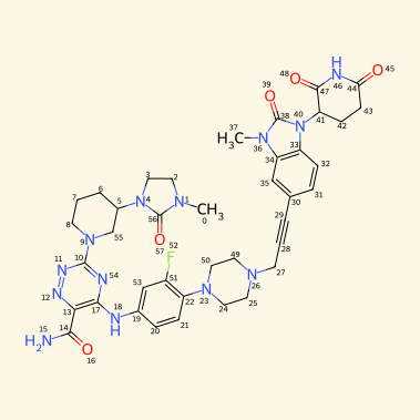 CN1CCN(C2CCCN(c3nnc(C(N)=O)c(Nc4ccc(N5CCN(CC#Cc6ccc7c(c6)n(C)c(=O)n7C6CCC(=O)NC6=O)CC5)c(F)c4)n3)C2)C1=O